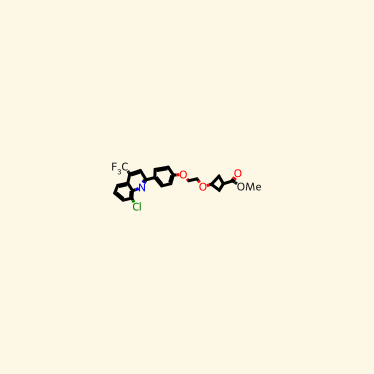 COC(=O)C1CC(OCCOc2ccc(-c3cc(C(F)(F)F)c4cccc(Cl)c4n3)cc2)C1